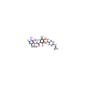 CSc1cc(C)[nH]c(=O)c1CNC(=O)c1cc(Cl)c2c(c1C)O[C@H](C1CCN(CC3CC3)CC1)CO2